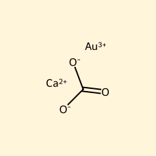 O=C([O-])[O-].[Au+3].[Ca+2]